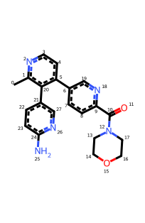 Cc1nccc(-c2ccc(C(=O)N3CCOCC3)nc2)c1-c1ccc(N)nc1